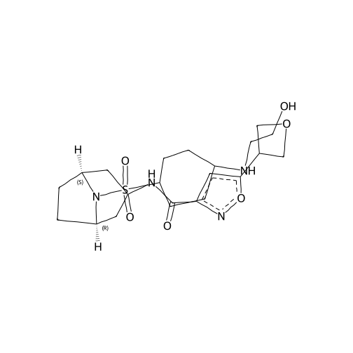 O=C(NC1C[C@H]2CC[C@@H](C1)N2S(=O)(=O)C1CCC(NCCO)CC1)c1cc(C2COC2)on1